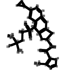 Cc1ncsc1C(=O)N[C@@H]1Cc2cc3cnc(C4CC4)cc3c(S(=O)(=O)NCC(C)(C)F)c2C1